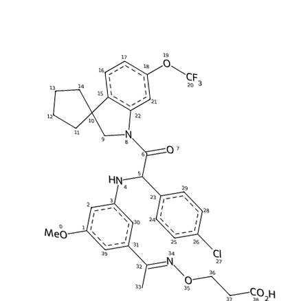 COc1cc(NC(C(=O)N2CC3(CCCC3)c3ccc(OC(F)(F)F)cc32)c2ccc(Cl)cc2)cc(C(C)=NOCCC(=O)O)c1